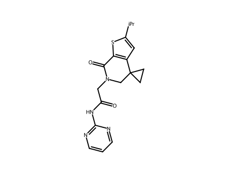 CC(C)c1cc2c(s1)C(=O)N(CC(=O)Nc1ncccn1)CC21CC1